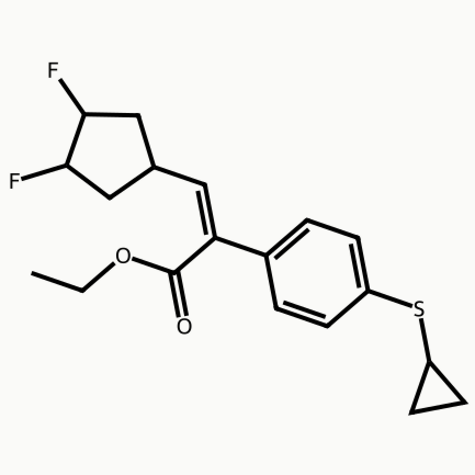 CCOC(=O)C(=CC1CC(F)C(F)C1)c1ccc(SC2CC2)cc1